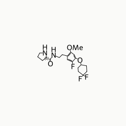 COc1cc(OC2CCC(F)(F)CC2)c(F)cc1CCNC(=O)[C@@H]1CCCN1